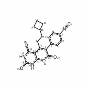 [C-]#[N+]c1ccc(-c2c(CCC3CCC3)c3c(=O)[nH]c(=O)[nH]c3oc2=O)cc1